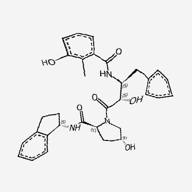 Cc1c(O)cccc1C(=O)N[C@@H](Cc1ccccc1)[C@H](O)C(=O)N1C[C@H](O)C[C@H]1C(=O)N[C@H]1CCc2ccccc21